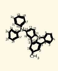 Cc1cc2c3ccccc3n3c4ccc(N(c5ccccc5)c5ccccc5)cc4c(c1)c23